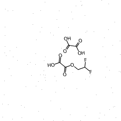 O=C(O)C(=O)O.O=C(O)C(=O)OCC(F)F